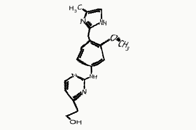 COc1cc(Nc2nccc(CCO)n2)ccc1-c1nc(C)c[nH]1